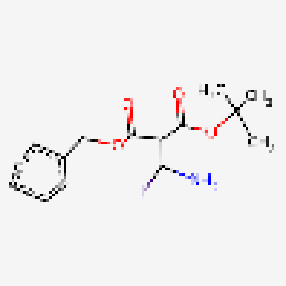 CC(C)(C)OC(=O)C(C(=O)OCc1ccccc1)C(N)I